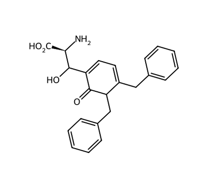 N[C@H](C(=O)O)C(O)C1=CC=C(Cc2ccccc2)C(Cc2ccccc2)C1=O